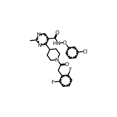 Cc1ncc(C(=O)NOc2cccc(Cl)c2)c(C2CCN(C(=O)Cc3c(F)cccc3F)CC2)n1